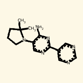 CC1(C)CCCN1c1cnc(-c2cncnc2)nc1N